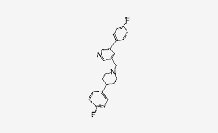 Fc1ccc(-c2cncc(CN3CCC(c4ccc(F)cc4)CC3)c2)cc1